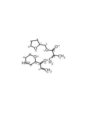 C=C(C)C(=O)OCC1CCCO1.C=CC(=O)C1CNCCO1